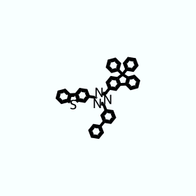 c1ccc(-c2cccc(-c3nc(-c4ccc5c(c4)-c4ccccc4C5(c4ccccc4)c4ccccc4)nc(-c4ccc5c(c4)sc4ccccc45)n3)c2)cc1